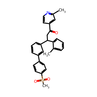 Cc1cc(C(=O)CC(c2cccc(-c3ccc(S(C)(=O)=O)cc3)c2)c2ccccc2C)ccn1